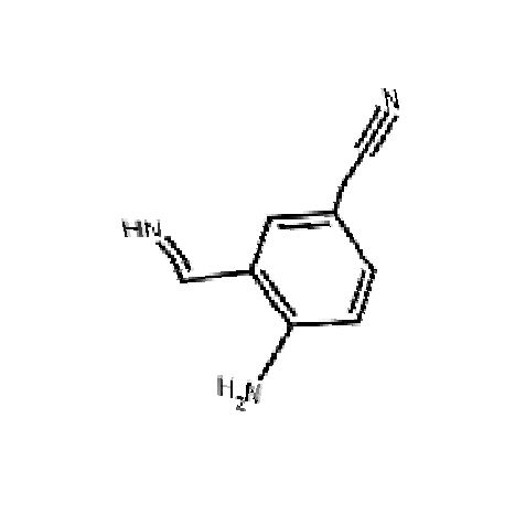 N#Cc1ccc(N)c(C=N)c1